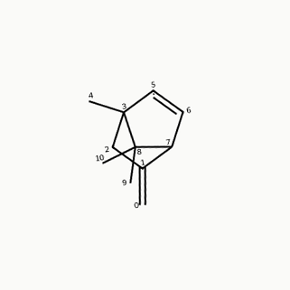 C=C1CC2(C)[C]=CC1C2(C)C